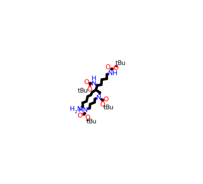 CC(C)(C)OC(=O)NCCCCC(NC(=O)OC(C)(C)C)C(CCCCCCN)CN(CCCCNC(=O)OC(C)(C)C)C(=O)OC(C)(C)C